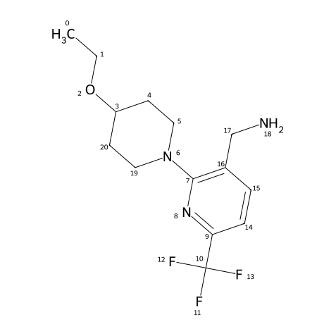 CCOC1CCN(c2nc(C(F)(F)F)ccc2CN)CC1